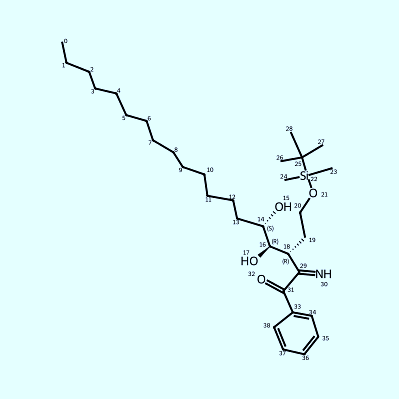 CCCCCCCCCCCCCC[C@H](O)[C@H](O)[C@H](CCO[Si](C)(C)C(C)(C)C)C(=N)C(=O)c1ccccc1